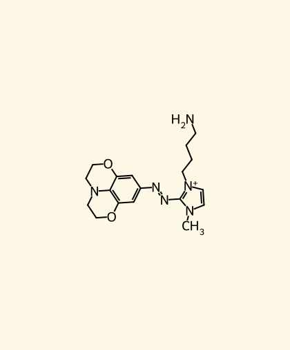 Cn1cc[n+](CCCCN)c1/N=N/c1cc2c3c(c1)OCCN3CCO2